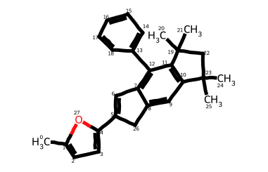 Cc1ccc(C2=Cc3c(cc4c(c3-c3ccccc3)C(C)(C)CC4(C)C)C2)o1